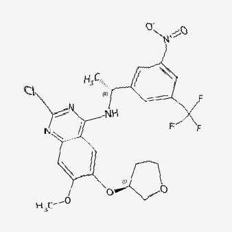 COc1cc2nc(Cl)nc(N[C@H](C)c3cc([N+](=O)[O-])cc(C(F)(F)F)c3)c2cc1O[C@H]1CCOC1